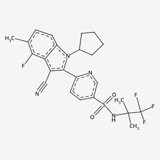 Cc1ccc2c(c1F)c(C#N)c(-c1ccc(S(=O)(=O)NC(C)(C)C(F)(F)F)cn1)n2C1CCCC1